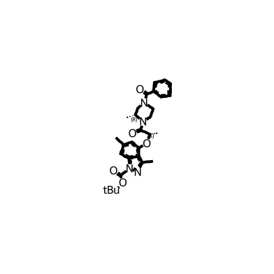 Cc1cc(O[C@@H](C)C(=O)N2CCN(C(=O)c3ccccc3)C[C@H]2C)c2c(C)nn(C(=O)OC(C)(C)C)c2c1